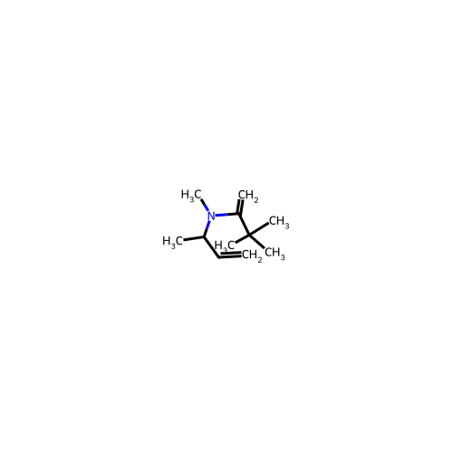 C=CC(C)N(C)C(=C)C(C)(C)C